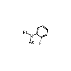 CCN(C(C)=O)c1ccccc1F